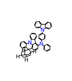 c1ccc(N(c2ccc(-n3c4ccccc4c4ccccc43)cc2)c2ccc3c4c2c2ccccc2n4-c2ccccc2C32[C@H]3C[C@@H]4C[C@@H](C[C@H]2C4)C3)cc1